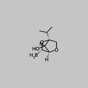 B[C@@H]1O[C@@]2(C(C)C)CO[C@@H]1[C@@H]2O